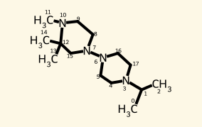 CC(C)N1CCN(N2CCN(C)C(C)(C)C2)CC1